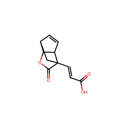 O=C(O)C=CC12CC3C=CC1C3OC2=O